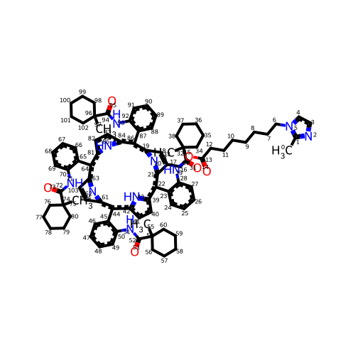 Cc1nccn1CCCCCCCC(=O)OCC1=Cc2nc1c(-c1ccccc1NC(=O)C1(C)CCCCC1)c1ccc([nH]1)c(-c1ccccc1NC(=O)C1(C)CCCCC1)c1nc(c(-c3ccccc3NC(=O)C3(C)CCCCC3)c3ccc([nH]3)c2-c2ccccc2NC(=O)C2(C)CCCCC2)C=C1